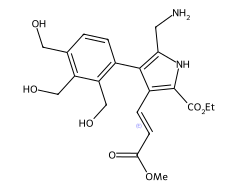 CCOC(=O)c1[nH]c(CN)c(-c2ccc(CO)c(CO)c2CO)c1/C=C/C(=O)OC